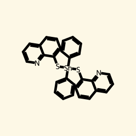 c1cc[c]([Sn]([S]c2cccc3cccnc23)([S]c2cccc3cccnc23)[c]2ccccc2)cc1